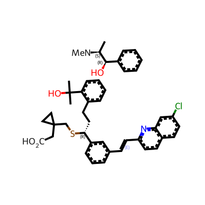 CC(C)(O)c1ccccc1CC[C@@H](SCC1(CC(=O)O)CC1)c1cccc(/C=C/c2ccc3ccc(Cl)cc3n2)c1.CN[C@@H](C)[C@H](O)c1ccccc1